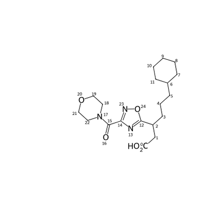 O=C(O)CC(CCCC1CCCCC1)c1nc(C(=O)N2CCOCC2)no1